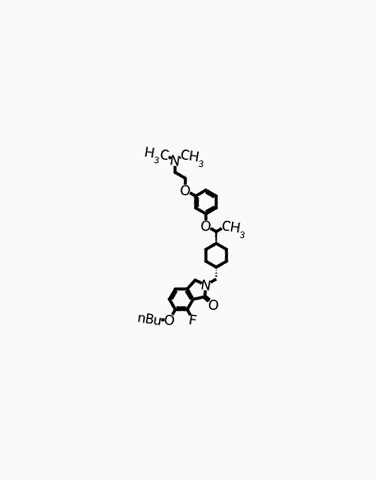 CCCCOc1ccc2c(c1F)C(=O)N(C[C@H]1CC[C@H](C(C)Oc3cccc(OCCN(C)C)c3)CC1)C2